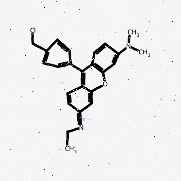 CC/N=c1\ccc2c(-c3ccc(CCl)cc3)c3ccc(N(C)C)cc3oc-2c1